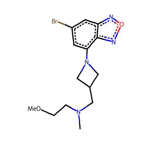 COCCN(C)CC1CN(c2cc(Br)cc3nonc23)C1